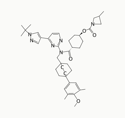 COc1c(C)cc(C23CCC(CN(c4nccc(-c5cnn(C(C)(C)C)c5)n4)C(=O)[C@H]4CC[C@H](OC(=O)N5CC(C)C5)CC4)(CC2)CC3)cc1C